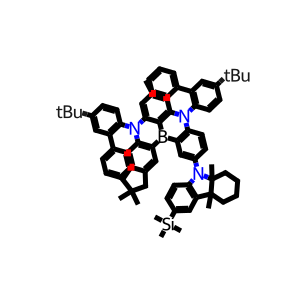 Cc1cc2c3c(c1)N(c1ccc(C(C)(C)C)cc1-c1ccccc1)c1cc4c(cc1B3c1cc(N3c5ccc([Si](C)(C)C)cc5C5(C)CCCCC35C)ccc1N2c1ccc(C(C)(C)C)cc1-c1ccccc1)CC(C)(C)C4